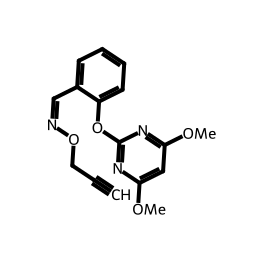 C#CCO/N=C\c1ccccc1Oc1nc(OC)cc(OC)n1